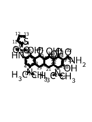 CN(C)c1cc(NS(=O)(=O)c2cccs2)c(O)c2c1CC1CC3[C@H](N(C)C)C(O)=C(C(N)=O)C(=O)[C@@]3(O)C(O)=C1C2=O